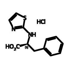 Cl.O=C(O)[C@H](Cc1ccccc1)Nc1nccs1